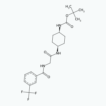 CC(C)(C)OC(=O)N[C@H]1CC[C@@H](NC(=O)CNC(=O)c2cccc(C(F)(F)F)c2)CC1